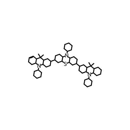 CC1(C)C2C=CCCC2N(C2CCCCC2)C2CCC(C3CCC4C(C3)SC3CC(C5CCC6C(C5)C(C)(C)C5CCCCC5N6C5CCCCC5)CCC3N4C3CCCCC3)CC21